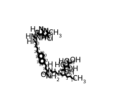 CCCCCCN(CCCNC(CCc1ccc2cc(CCCCNC(=N)NC(=O)c3nc(Cl)c(C)nc3N)ccc2c1)C(N)=O)CC(O)C(O)C(O)C(O)CO